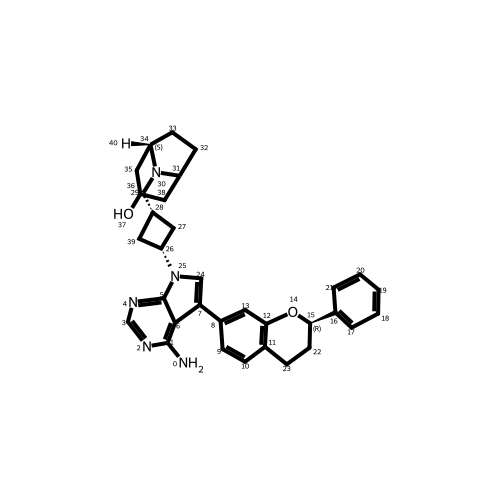 Nc1ncnc2c1c(-c1ccc3c(c1)O[C@@H](c1ccccc1)CC3)cn2[C@H]1C[C@@H](CN2C3CC[C@H]2CC(O)C3)C1